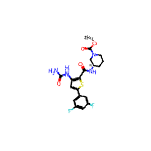 CC(C)(C)OC(=O)N1CCC[C@@H](NC(=O)c2sc(-c3cc(F)cc(F)c3)cc2NC(N)=O)C1